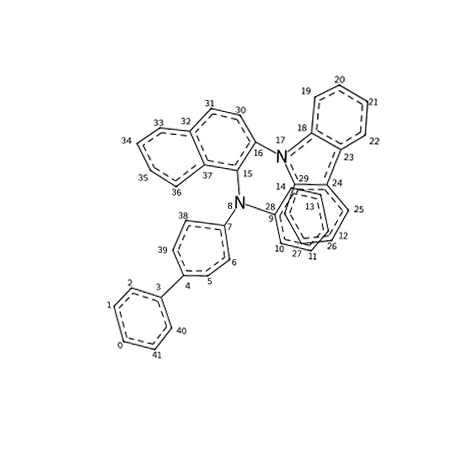 c1ccc(-c2ccc(N(c3ccccc3)c3c(-n4c5ccccc5c5ccccc54)ccc4ccccc34)cc2)cc1